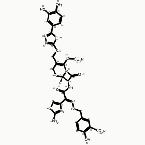 Nc1nc(C(=NOCc2ccc(O)c(C(=O)O)c2)C(=O)N[C@@H]2C(=O)N3C(OC(=O)O)=C(CSc4nnc(-c5ccc(O)c(O)c5)o4)CS[C@@H]23)cs1